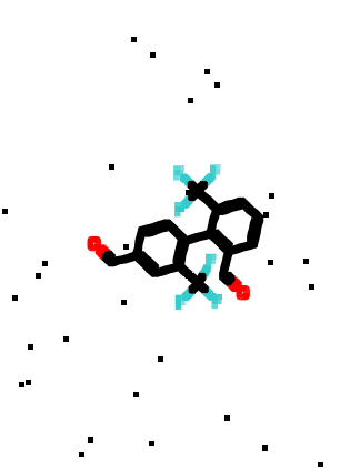 O=Cc1ccc(-c2c(C=O)cccc2C(F)(F)F)c(C(F)(F)F)c1